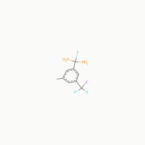 Cc1cc(C(F)(P)P)cc(C(F)(F)I)c1